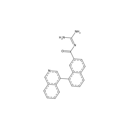 NC(N)=NC(=O)c1ccc2cccc(-c3cncc4ccccc34)c2c1